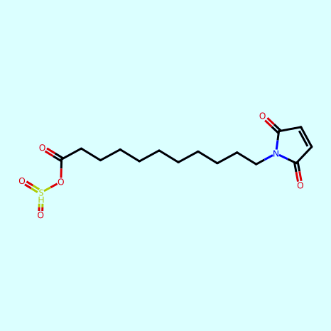 O=C(CCCCCCCCCCN1C(=O)C=CC1=O)O[SH](=O)=O